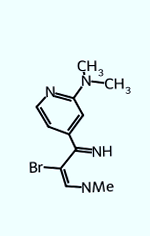 CN/C=C(/Br)C(=N)c1ccnc(N(C)C)c1